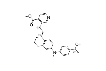 COC(=O)c1ccncc1NC[C@@H]1CCCc2cc(N(C)c3ccc([C@H](C)O)cc3)ccc21